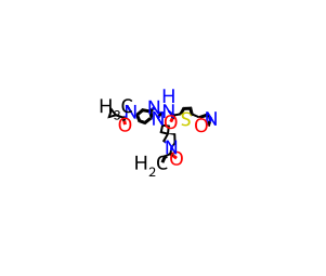 C=CC(=O)N1CC[C@]2(C1)C[C@H](n1c(NC(=O)c3ccc(-c4cnco4)s3)nc3cc(N(C)C(=O)C4CC4)ccc31)C2